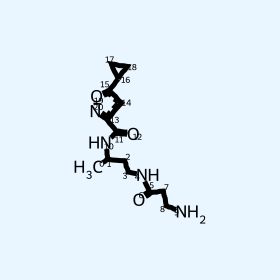 CC(CCNC(=O)CCN)NC(=O)c1cc(C2CC2)on1